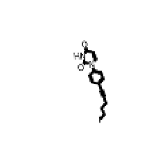 O=c1ccn(-c2ccc(C#CCCCI)cc2)c(=O)[nH]1